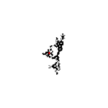 CCCN(Cc1cc(C#Cc2ccc3c(c2)C(CC(=O)OCC)(CC(=O)OCC)c2cc(NC(=O)C(F)(F)F)ccc2-3)cc(CN(CC(=O)OCC)Cc2cc(Br)cc(CC)n2)n1)Cc1cc(Br)cc(C(=O)OCC)n1